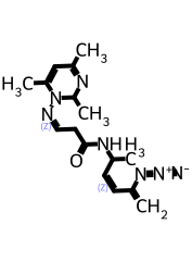 C=C(/C=C\C(C)NC(=O)C/C=N\N1C(C)=CC(C)=NC1C)N=[N+]=[N-]